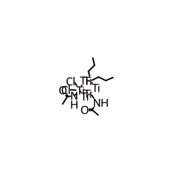 CC[CH2][Ti]1([CH2]CC)[Ti][Ti]([NH]C(C)=O)[Ti][Ti]([Cl])([Cl])([NH]C(C)=O)[Ti]1